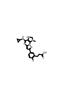 CN1CNc2c(NC3CC3)nc3cc(-c4ccc(F)c(CCC(=O)O)c4)nn3c21